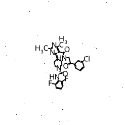 Cc1nc(C)c(C(=O)NCC(=O)c2cccc(Cl)c2)c(C2CCN(C(=O)Nc3c(F)cccc3F)CC2)n1